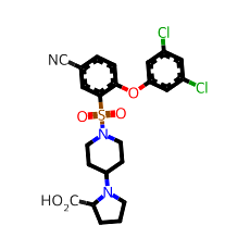 N#Cc1ccc(Oc2cc(Cl)cc(Cl)c2)c(S(=O)(=O)N2CCC(N3CCCC3C(=O)O)CC2)c1